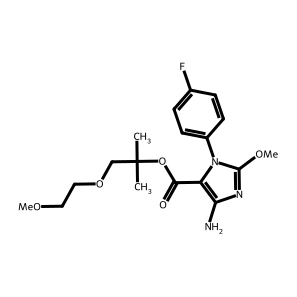 COCCOCC(C)(C)OC(=O)c1c(N)nc(OC)n1-c1ccc(F)cc1